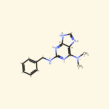 CN(C)c1nc(NCc2ccccc2)nc2[nH]cnc12